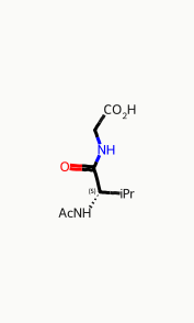 CC(=O)N[C@H](C(=O)NCC(=O)O)C(C)C